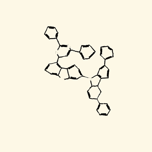 C1=CC2C(CC1c1ccccc1)c1ccc(-c3ccccc3)cc1N2c1ccc2c(c1)oc1cccc(C3C=C(c4ccccc4)N=C(c4ccccc4)N3)c12